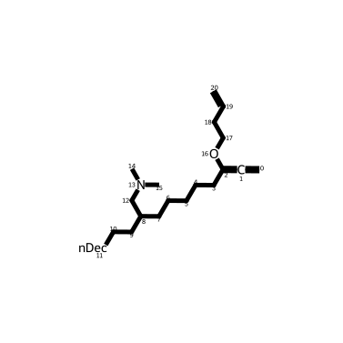 C=C=C(CCCCCC(CCCCCCCCCCCC)CN(C)C)OCCC=C